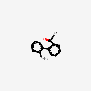 CCCCCCc1ccccc1-c1ccccc1C(=O)CC